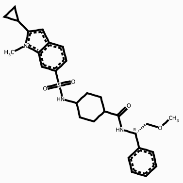 COC[C@@H](NC(=O)C1CCC(NS(=O)(=O)c2ccc3cc(C4CC4)n(C)c3c2)CC1)c1ccccc1